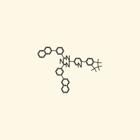 CC1(C)c2ccc(-c3ccc(-c4nc(-c5cccc(-c6ccc7ccccc7c6)c5)nc(-c5cccc(-c6ccc7ccccc7c6)c5)n4)cn3)cc2C(C)(C)C1(C)C